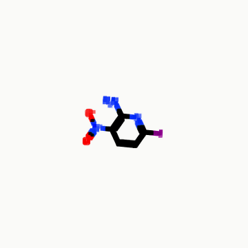 Nc1nc(I)ccc1[N+](=O)[O-]